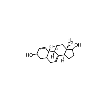 C[C@]12C=CC(O)CC1CC=C1[C@H]2CC[C@]2(C)C(O)CC[C@@H]12